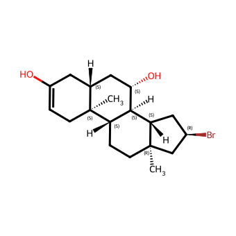 C[C@]12CC[C@H]3[C@@H]([C@@H](O)C[C@H]4CC(O)=CC[C@@]43C)[C@@H]1C[C@@H](Br)C2